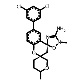 CC1CC[C@]2(CO1)C[C@]1(N=C(N)N(C)O1)c1cc(-c3cc(Cl)cc(Cl)c3)ccc1O2